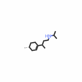 CC(C)NCCC(C)C1=CC[C@H](C)CC1